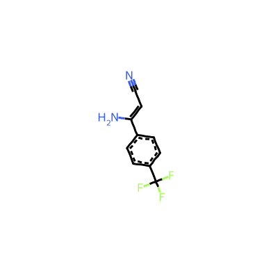 N#CC=C(N)c1ccc(C(F)(F)F)cc1